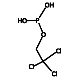 OP(O)OCC(Cl)(Cl)Cl